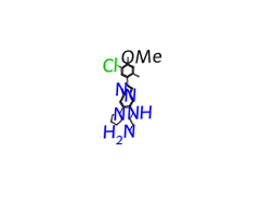 COc1cc(C)c(-c2cn3cc(NCCN)c(N4CCCC4)cc3n2)cc1Cl